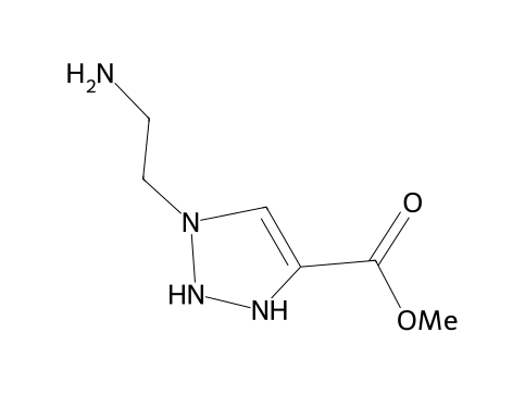 COC(=O)C1=CN(CCN)NN1